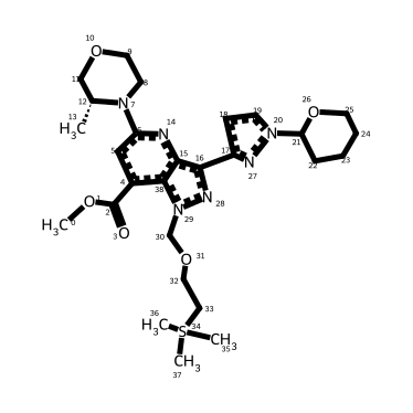 COC(=O)c1cc(N2CCOC[C@H]2C)nc2c(-c3ccn(C4CCCCO4)n3)nn(COCCS(C)(C)C)c12